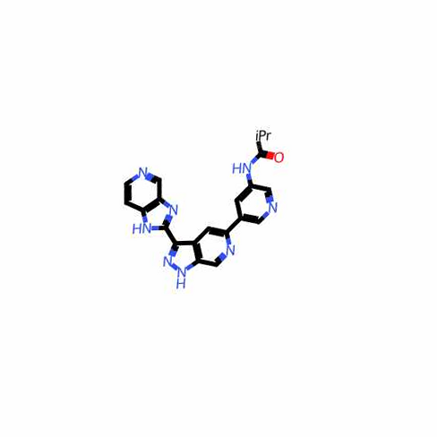 CC(C)C(=O)Nc1cncc(-c2cc3c(-c4nc5cnccc5[nH]4)n[nH]c3cn2)c1